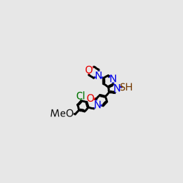 COCc1cc(Cl)cc(Cn2ccc(-c3cn(S)c4ncc(N5CCOCC5)cc34)cc2=O)c1